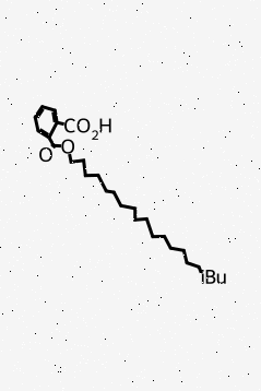 CCC(C)CCCCCCCCCCCCCCCCOC(=O)c1ccccc1C(=O)O